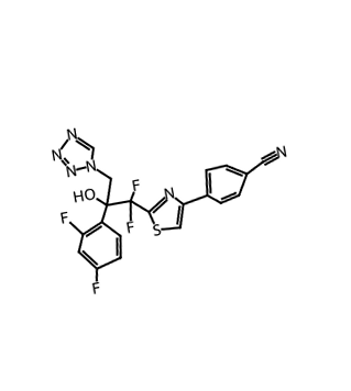 N#Cc1ccc(-c2csc(C(F)(F)C(O)(Cn3cnnn3)c3ccc(F)cc3F)n2)cc1